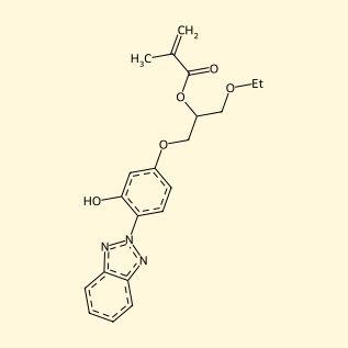 C=C(C)C(=O)OC(COCC)COc1ccc(-n2nc3ccccc3n2)c(O)c1